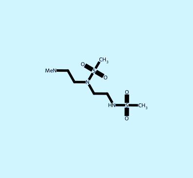 CNCCN(CCNS(C)(=O)=O)S(C)(=O)=O